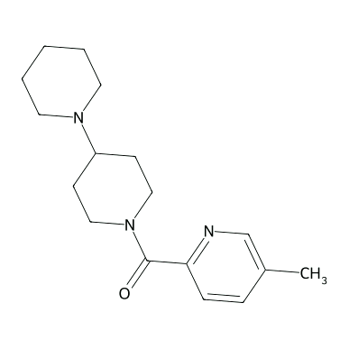 Cc1ccc(C(=O)N2CCC(N3CCCCC3)CC2)nc1